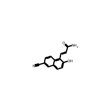 N#Cc1ccc2c(C=CC(N)=O)c(O)ccc2c1